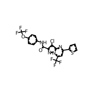 O=C(Nc1ccc(OC(F)(F)F)cc1)c1nn2c(C(F)(F)F)cc(-c3cccs3)nc2c1Cl